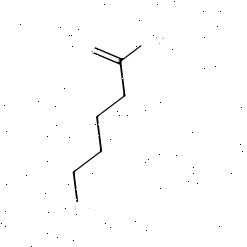 CCCCCCCCC(=S)OC